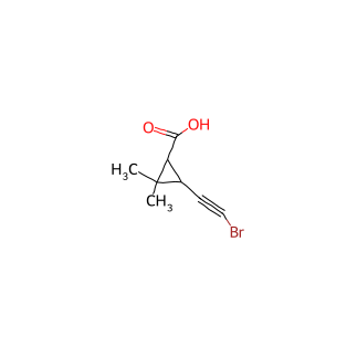 CC1(C)C(C#CBr)C1C(=O)O